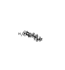 CC(C)(C)c1ccc(OCC(=O)NNC(=S)NC(=O)c2ccco2)c(Br)c1